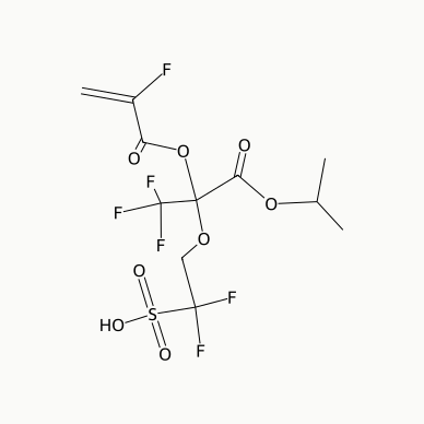 C=C(F)C(=O)OC(OCC(F)(F)S(=O)(=O)O)(C(=O)OC(C)C)C(F)(F)F